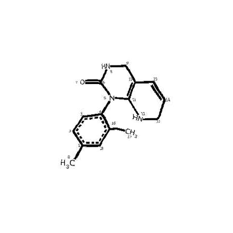 Cc1ccc(N2C(=O)NCC3=C2NCC=C3)c(C)c1